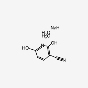 N#Cc1ccc(O)nc1O.O.O.[NaH]